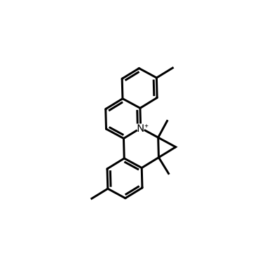 Cc1ccc2c(c1)-c1ccc3ccc(C)cc3[n+]1C1(C)CC21C